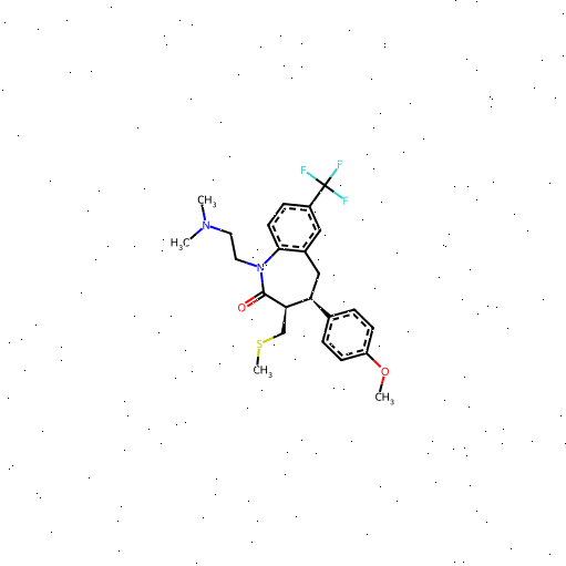 COc1ccc([C@@H]2Cc3cc(C(F)(F)F)ccc3N(CCN(C)C)C(=O)[C@@H]2CSC)cc1